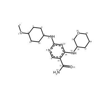 COC1CCC(Nc2ncc(C(N)=O)c(NC3CCCOC3)n2)CC1